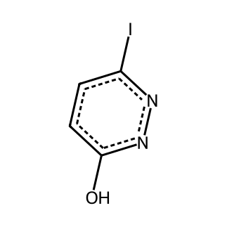 Oc1ccc(I)nn1